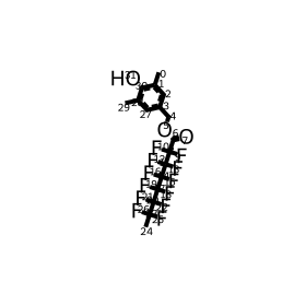 Cc1cc(COC(=O)C(F)(F)C(F)(F)C(F)(F)C(F)(F)C(F)(F)C(C)(F)F)cc(C)c1O